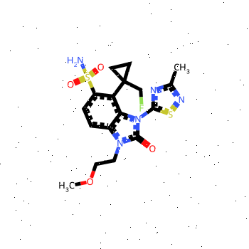 COCCn1c(=O)n(-c2nc(C)ns2)c2c(C3(CF)CC3)c(S(N)(=O)=O)ccc21